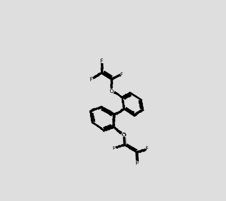 FC(F)=C(F)Oc1ccccc1-c1ccccc1OC(F)=C(F)F